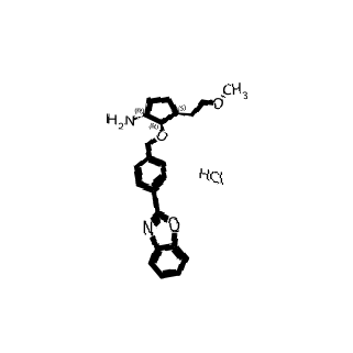 COCC[C@@H]1CC[C@@H](N)[C@@H]1OCc1ccc(-c2nc3ccccc3o2)cc1.Cl